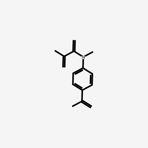 C=C(C)C(=C)N(C)c1ccc(C(=C)C)cc1